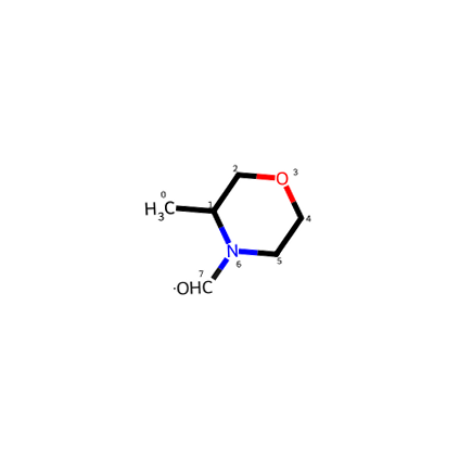 CC1COCCN1[C]=O